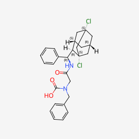 O=C(CN(Cc1ccccc1)C(=O)O)N[C@@H](c1ccccc1)[C@H]1[C@H]2C[C@@H]3C[C@](Cl)(C2)C[C@@]1(Cl)C3